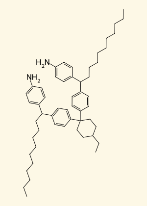 CCCCCCCCCCC(c1ccc(N)cc1)c1ccc(C2(c3ccc(C(CCCCCCCCCC)c4ccc(N)cc4)cc3)CCC(CC)CC2)cc1